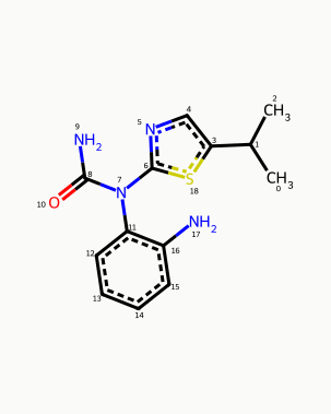 CC(C)c1cnc(N(C(N)=O)c2ccccc2N)s1